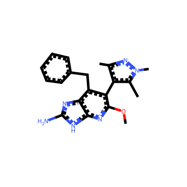 COc1nc2[nH]c(N)nc2c(Cc2ccccc2)c1-c1c(C)nn(C)c1C